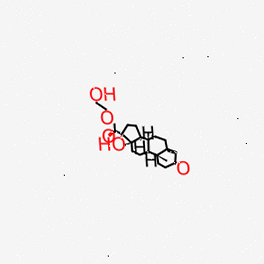 C[C@]12CCC(=O)C=C1CC[C@@H]1[C@@H]2CC[C@@]2(C)[C@H]1CC[C@]2(O)C(=O)COCCO